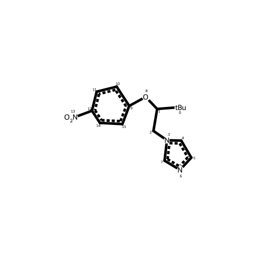 CC(C)(C)C(Cn1ccnc1)Oc1ccc([N+](=O)[O-])cc1